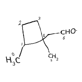 CC1CCC1(C)[C]=O